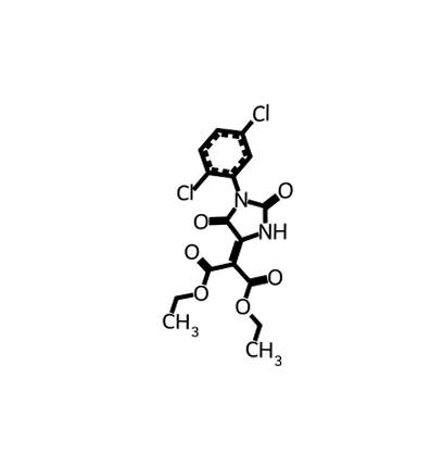 CCOC(=O)C(C(=O)OCC)=C1NC(=O)N(c2cc(Cl)ccc2Cl)C1=O